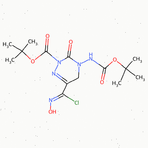 CC(C)(C)OC(=O)NN1CC(C(Cl)=NO)=NN(C(=O)OC(C)(C)C)C1=O